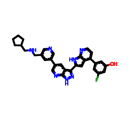 Oc1cc(F)cc(-c2ccnc3[nH]c(-c4n[nH]c5ncc(-c6cncc(CNCC7CCCC7)c6)cc45)cc23)c1